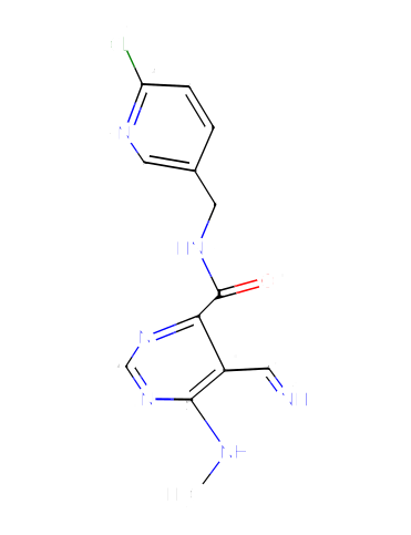 CNc1ncnc(C(=O)NCc2ccc(Cl)nc2)c1C=N